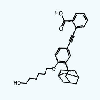 O=C(O)c1ccccc1C#Cc1ccc(OCCCCCCO)c(C23CC4CC(CC(C4)C2)C3)c1